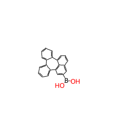 OB(O)c1cc2c3c(cccc3c1)-c1ccccc1-c1ccccc1-2